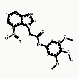 COc1cc(NC(=O)Cn2cnc3cccc([N+](=O)[O-])c32)cc(OC)c1OC